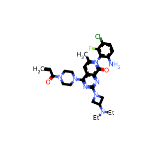 C=CC(=O)N1CCN(c2nc(N3CC(N(CC)CC)C3)nc3c(=O)n(-c4c(N)ccc(Cl)c4F)c(C)cc23)CC1